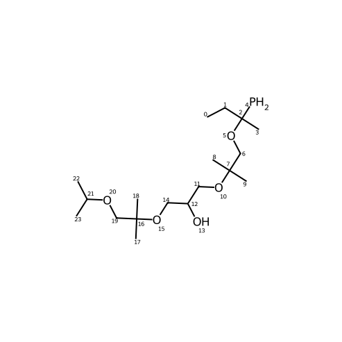 CCC(C)(P)OCC(C)(C)OCC(O)COC(C)(C)COC(C)C